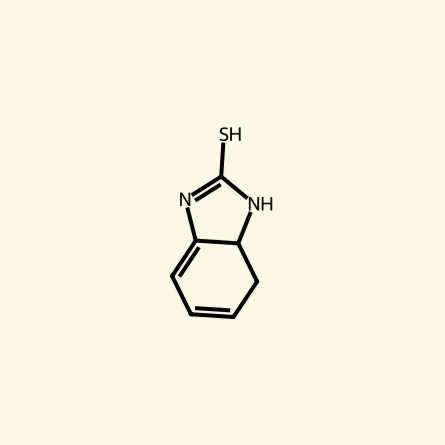 SC1=NC2=CC=CCC2N1